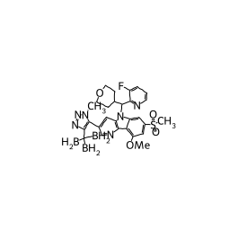 BC(B)(B)c1nnn(C)c1-c1cnc2c3c(OC)cc(S(C)(=O)=O)cc3n(C(c3ncccc3F)C3CCOCC3)c2c1